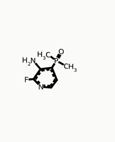 CP(C)(=O)c1ccnc(F)c1N